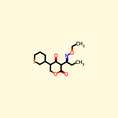 CCON=C(CC)C1C(=O)OCC(C2CCCSC2)C1=O